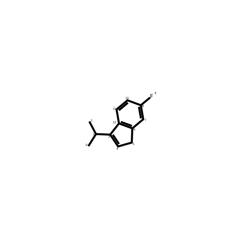 CC(C)C1=CCc2cc(F)ccc21